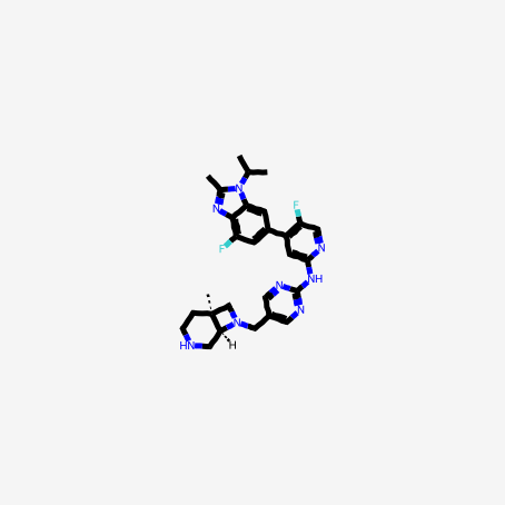 Cc1nc2c(F)cc(-c3cc(Nc4ncc(CN5C[C@]6(C)CCNC[C@H]56)cn4)ncc3F)cc2n1C(C)C